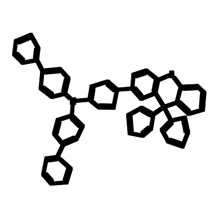 c1ccc(-c2ccc(N(c3ccc(-c4ccccc4)cc3)c3ccc(-c4ccc5c(c4)C(c4ccccc4)(c4ccccc4)c4ccccc4S5)cc3)cc2)cc1